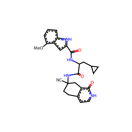 COc1cccc2[nH]c(C(=O)NC(CC3CC3)C(=O)NC3(C#N)CCc4cc[nH]c(=O)c4C3)cc12